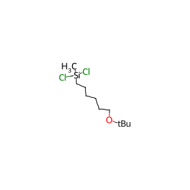 CC(C)(C)OCCCCCC[Si](C)(Cl)Cl